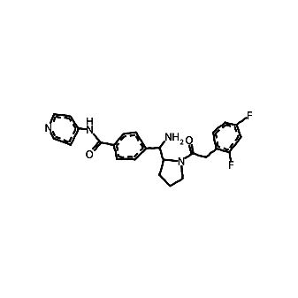 NC(c1ccc(C(=O)Nc2ccncc2)cc1)C1CCCN1C(=O)Cc1ccc(F)cc1F